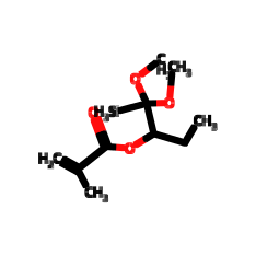 C=C(C)C(=O)OC(CC)C([SiH3])(OC)OC